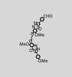 COc1ccc(C2=CN3C(=O)c4cc(OC)c(OCCCOc5cc6c(cc5OC)C(=O)N5C=C(c7ccc(C=O)cc7)C[C@H]5C=N6)cc4N=C[C@@H]3C2)cc1